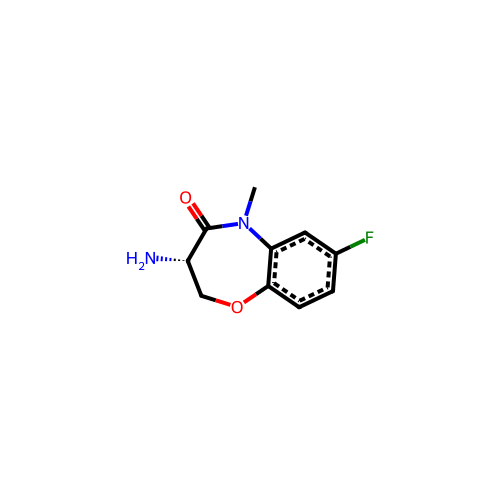 CN1C(=O)[C@@H](N)COc2ccc(F)cc21